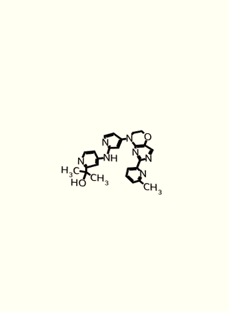 Cc1cccc(-c2ncc3c(n2)N(c2ccnc(Nc4ccnc(C(C)(C)O)c4)c2)CCO3)n1